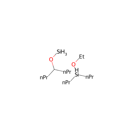 CCCC(CCC)O[SiH3].CCC[SiH](CCC)OCC